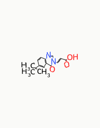 CC(C)(C)c1ccc2ncn(C=CC(=O)O)c(=O)c2c1